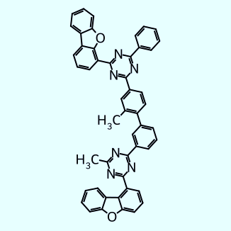 Cc1nc(-c2cccc(-c3ccc(-c4nc(-c5ccccc5)nc(-c5cccc6c5oc5ccccc56)n4)cc3C)c2)nc(-c2cccc3oc4ccccc4c23)n1